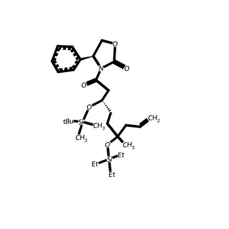 C=CCC(C)(CC[C@@H](CC(=O)N1C(=O)OC[C@@H]1c1ccccc1)O[Si](C)(C)C(C)(C)C)O[Si](CC)(CC)CC